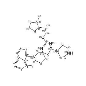 Cc1cccc2cccc(N3CCCC4(CC(N5CCNCC5)=NC(OC[C@@H](C)C5CCCN5C)=N4)C3)c12